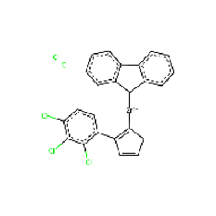 Clc1ccc(C2=[C]([Zr+2][CH]3c4ccccc4-c4ccccc43)CC=C2)c(Cl)c1Cl.[Cl-].[Cl-]